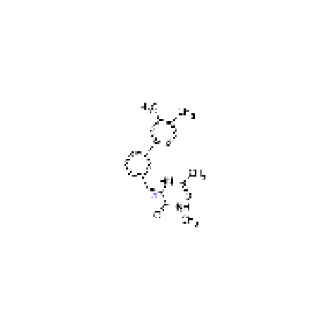 CNC(=O)/C(=C/c1cccc(-c2ccc(C)c(C)c2)c1)NC(C)=O